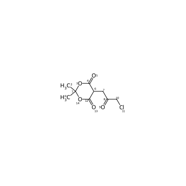 CC1(C)OC(=O)C(CC(=O)CCl)C(=O)O1